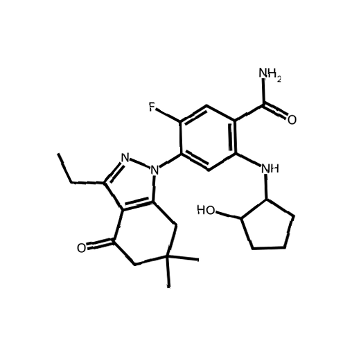 CCc1nn(-c2cc(NC3CCCC3O)c(C(N)=O)cc2F)c2c1C(=O)CC(C)(C)C2